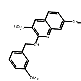 COc1cccc(CNc2nc3cc(OC)ccc3cc2C(=O)O)c1